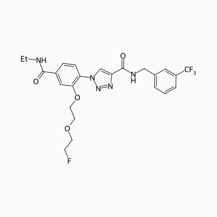 CCNC(=O)c1ccc(-n2cc(C(=O)NCc3cccc(C(F)(F)F)c3)nn2)c(OCCOCCF)c1